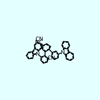 N#Cc1ccc(-c2cccc(-n3c4ccccc4c4ccccc43)c2)c(-c2c(C#N)cccc2-n2c3ccccc3c3cc(C#N)ccc32)c1